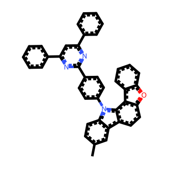 Cc1ccc2c(c1)c1ccc3oc4ccccc4c3c1n2-c1ccc(-c2nc(-c3ccccc3)cc(-c3ccccc3)n2)cc1